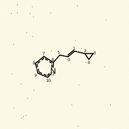 C(=C\C1CC1)/Cc1ccccn1